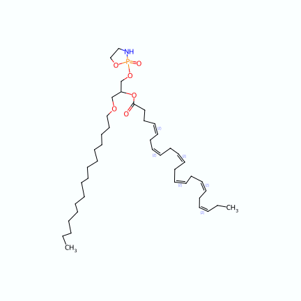 CC/C=C\C/C=C\C/C=C\C/C=C\C/C=C\C/C=C\CCC(=O)OC(COCCCCCCCCCCCCCCCC)COP1(=O)NCCO1